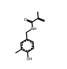 C=C(C)C(=O)NCc1ccc(O)c(C)c1